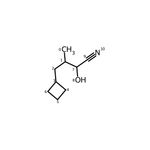 CC(CC1CCC1)C(O)C#N